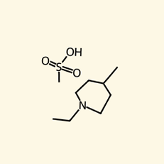 CCN1CCC(C)CC1.CS(=O)(=O)O